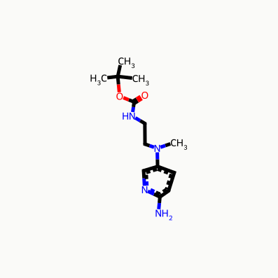 CN(CCNC(=O)OC(C)(C)C)c1ccc(N)nc1